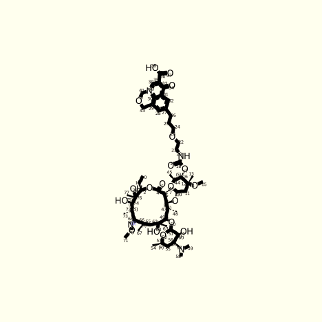 CC[C@H]1OC(=O)[C@H](C)[C@@H](O[C@H]2C[C@@](C)(OC)[C@@H](OC(=O)NCCOCCCc3cc4c5c(c3)c(=O)c(C(=O)O)cn5COC4)[C@H](C)O2)[C@H](C)[C@@H](OC2O[C@H](C)C[C@H](N(C)C)[C@H]2O)[C@](C)(O)C[C@@H](C)/C(=N\OC)[C@H](C)[C@@H](O)[C@]1(C)O